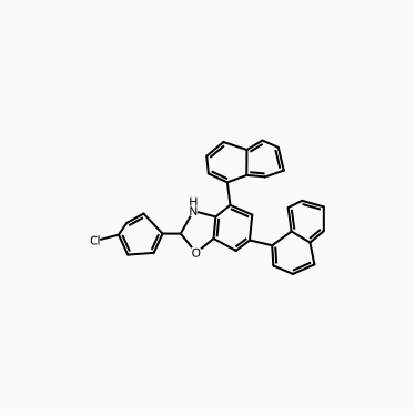 Clc1ccc(C2Nc3c(cc(-c4cccc5ccccc45)cc3-c3cccc4ccccc34)O2)cc1